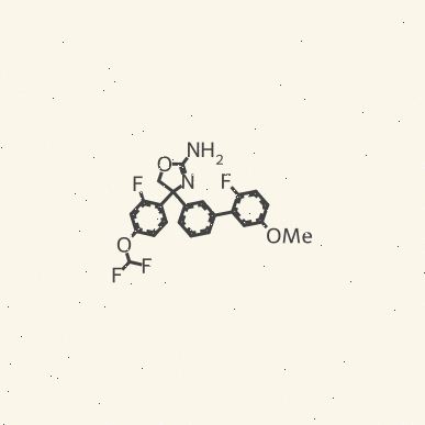 COc1ccc(F)c(-c2cccc(C3(c4ccc(OC(F)F)cc4F)COC(N)=N3)c2)c1